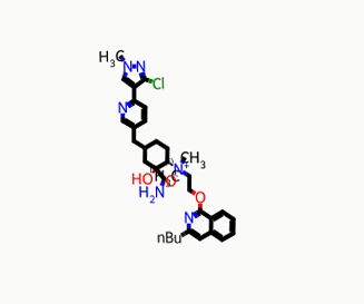 CCCCc1cc2ccccc2c(OCC[N+](C)(C)[C@H]2CCC(Cc3ccc(-c4cn(C)nc4Cl)nc3)C[C@@]2(O)C(N)=O)n1